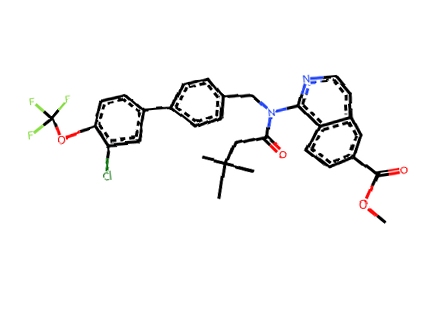 COC(=O)c1ccc2c(N(Cc3ccc(-c4ccc(OC(F)(F)F)c(Cl)c4)cc3)C(=O)CC(C)(C)C)nccc2c1